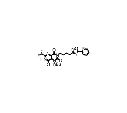 CCCCn1c(=O)n(CCCCc2noc(-c3ccccn3)n2)c(=O)c2nc(C(F)F)[nH]c(=O)c21